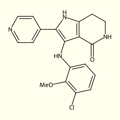 COc1c(Cl)cccc1Nc1c(-c2ccncc2)[nH]c2c1C(=O)NCC2